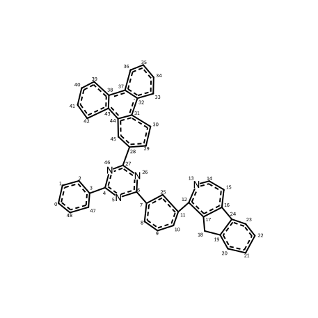 c1ccc(-c2nc(-c3cccc(-c4nccc5c4Cc4ccccc4-5)c3)nc(-c3ccc4c5ccccc5c5ccccc5c4c3)n2)cc1